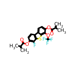 C=C(C)C(=O)Oc1ccc2c(sc3c(OC(F)(F)F)c(OC(=O)C(=C)C)ccc32)c1F